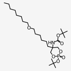 CCCCCCCCOCCCCCCC1(NC(=O)OC(C)(C)C)COP(=O)(OC(C)(C)C)OC1